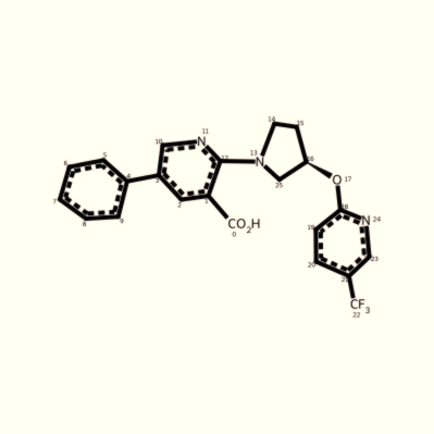 O=C(O)c1cc(-c2ccccc2)cnc1N1CC[C@@H](Oc2ccc(C(F)(F)F)cn2)C1